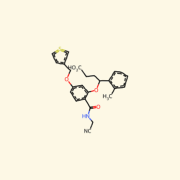 Cc1ccccc1C(CCC(=O)O)Oc1cc(OCc2ccsc2)ccc1C(=O)NCC#N